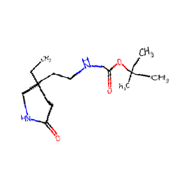 CCC1(CCNC(=O)OC(C)(C)C)CNC(=O)C1